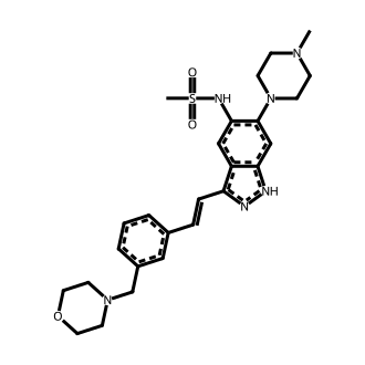 CN1CCN(c2cc3[nH]nc(C=Cc4cccc(CN5CCOCC5)c4)c3cc2NS(C)(=O)=O)CC1